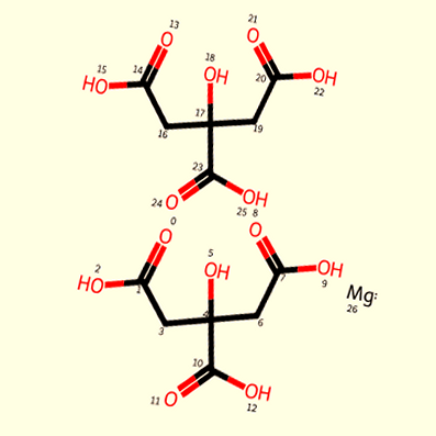 O=C(O)CC(O)(CC(=O)O)C(=O)O.O=C(O)CC(O)(CC(=O)O)C(=O)O.[Mg]